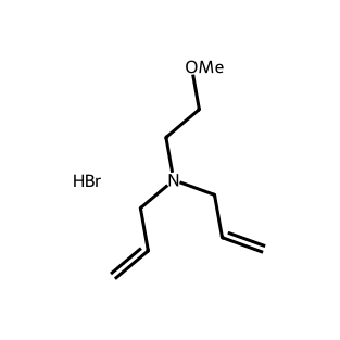 Br.C=CCN(CC=C)CCOC